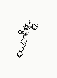 O=C(NCC1CCN(CC=Cc2ccccc2)CC1)c1cnn(-c2ccc(F)cc2F)c1